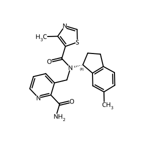 Cc1ccc2c(c1)[C@H](N(Cc1cccnc1C(N)=O)C(=O)c1scnc1C)CC2